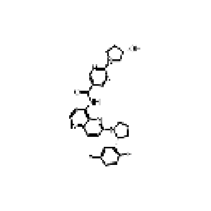 O=C(Nc1ccnc2ccc(N3CCC[C@@H]3c3cc(F)ccc3F)nc12)c1cnc(N2CC[C@H](O)C2)nc1